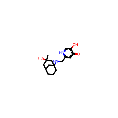 CC1(O)CC2CCCC(NCc3cc(=O)c(O)c[nH]3)(C2)C1